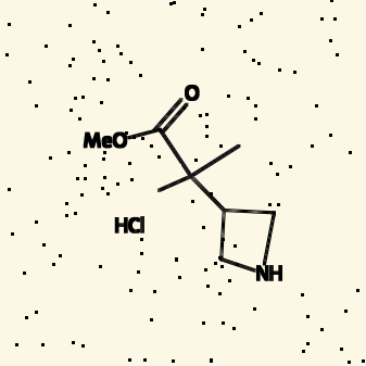 COC(=O)C(C)(C)C1CNC1.Cl